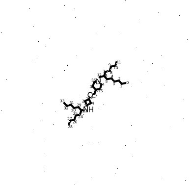 CCCCCCC(CCCCC)CN1CCC(CO[C@H]2C[C@H](NC(CCCCC)CCCCC)C2)CC1